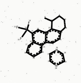 CC1CCCc2ccc3c(cc(C(F)(F)F)c4ccccc43)c21.c1cnccn1